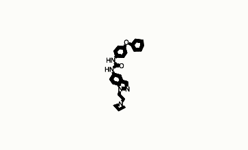 O=C(Nc1ccc(Oc2ccccc2)cc1)Nc1ccc2c(cnn2CCN2CCC2)c1